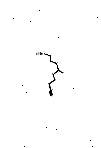 C#CCCCC(C)CCCCCCCCC